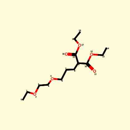 CCOCCOCCCC(C(=O)OCC)C(=O)OCC